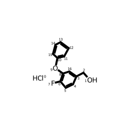 Cl.OCc1ccc(F)c(Oc2ccccc2)c1